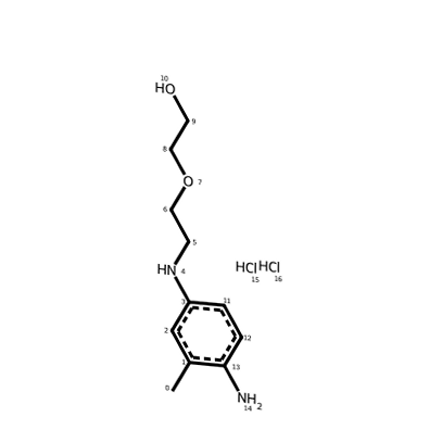 Cc1cc(NCCOCCO)ccc1N.Cl.Cl